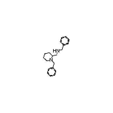 c1ccc(CNCC2CCCCN2Cc2ccccc2)cc1